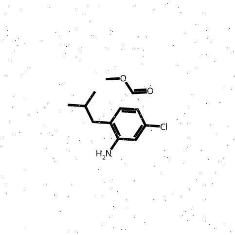 CC(C)Cc1ccc(Cl)cc1N.COC=O